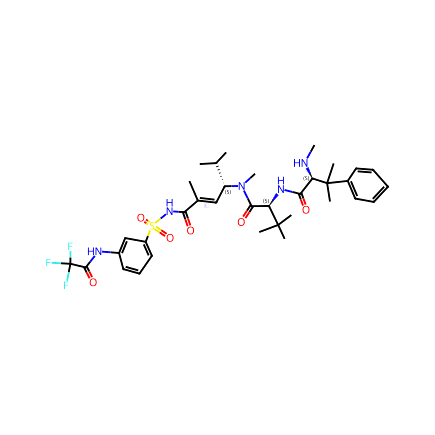 CN[C@H](C(=O)N[C@H](C(=O)N(C)[C@H](/C=C(\C)C(=O)NS(=O)(=O)c1cccc(NC(=O)C(F)(F)F)c1)C(C)C)C(C)(C)C)C(C)(C)c1ccccc1